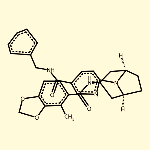 Cc1c(C(=O)N[C@H]2C[C@H]3CC[C@@H](C2)N3c2ccc(C(=O)NCc3ccccc3)cn2)ccc2c1OCO2